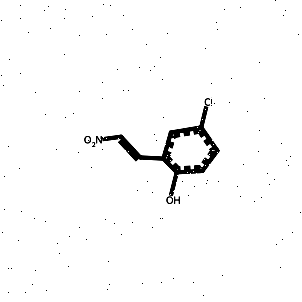 O=[N+]([O-])/C=C/c1cc(Cl)ccc1O